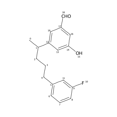 CC(CCCc1cccc(F)c1)c1cc(O)cc(C=O)c1